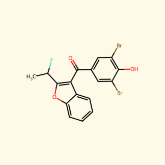 CC(F)c1oc2ccccc2c1C(=O)c1cc(Br)c(O)c(Br)c1